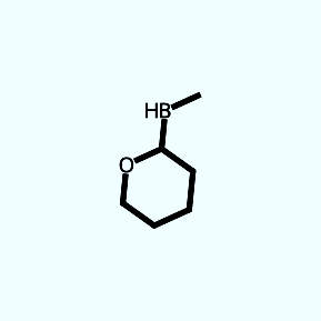 CBC1CCCCO1